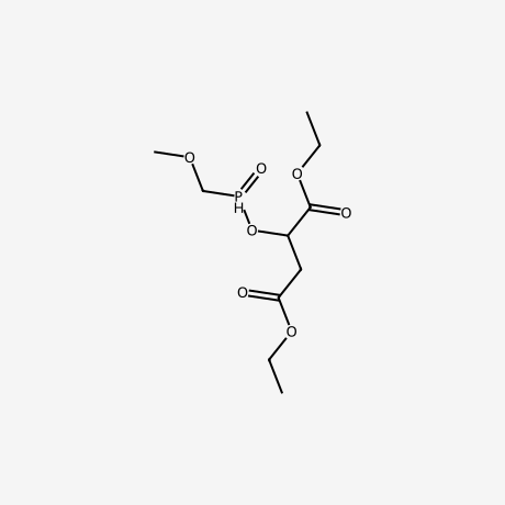 CCOC(=O)CC(O[PH](=O)COC)C(=O)OCC